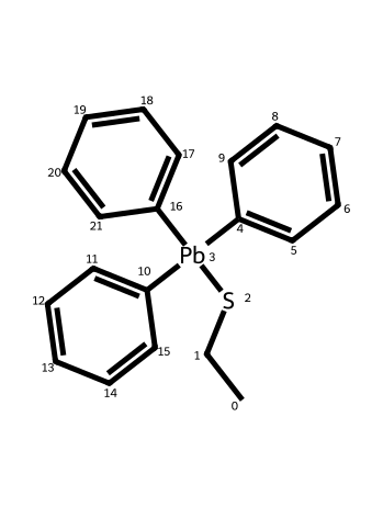 CC[S][Pb]([c]1ccccc1)([c]1ccccc1)[c]1ccccc1